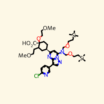 COCCO[C@]1(C(=O)O)CC[C@@H](c2cc(N(COCC[Si](C)(C)C)COCC[Si](C)(C)C)n3ncc(-c4ccc(Cl)nc4)c3n2)CC1CCOC